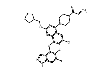 C=CC(=O)N1CCN(c2nc(OCC3CCOC3)nc3c(Oc4c(Cl)c(F)cc5[nH]ncc45)nc(Cl)cc23)CC1